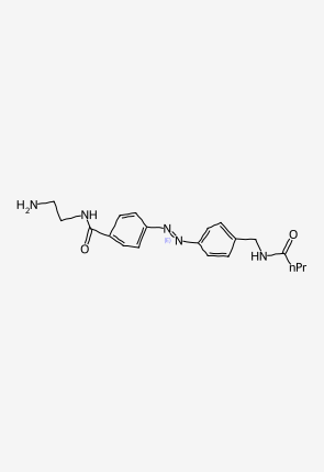 CCCC(=O)NCc1ccc(/N=N/c2ccc(C(=O)NCCN)cc2)cc1